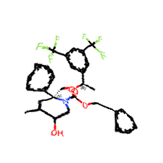 CC1C[C@@](CO[C@H](C)c2cc(C(F)(F)F)cc(C(F)(F)F)c2)(c2ccccc2)N(C(=O)OCc2ccccc2)CC1O